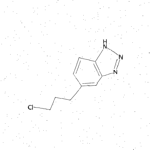 ClCCCc1ccc2[nH]nnc2c1